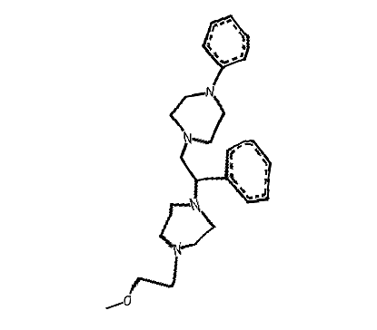 COCCN1CCN(C(CN2CCN(c3ccccc3)CC2)c2ccccc2)CC1